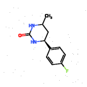 CC1C[C@@H](c2ccc(F)cc2)NC(=O)N1